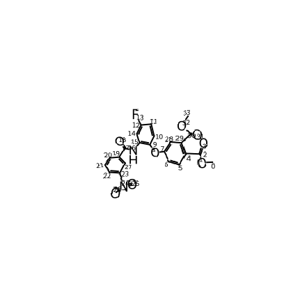 COC(=O)c1ccc(Oc2ccc(F)cc2NC(=O)c2cccc([N+](=O)[O-])c2)cc1C(=O)OC